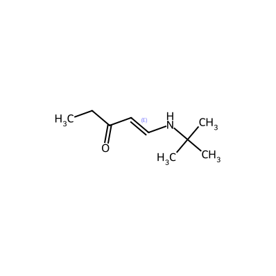 CCC(=O)/C=C/NC(C)(C)C